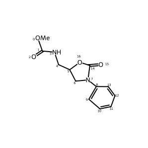 COC(=O)NCC1CN(c2ccccc2)C(=O)O1